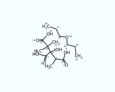 CC(C(=O)O)C(O)(C(=O)O)C(C)(C)C(=O)O.CCCOCCC